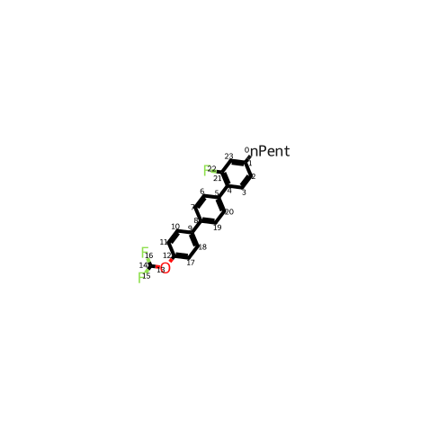 CCCCCc1ccc(-c2ccc(-c3ccc(OC(F)F)cc3)cc2)c(F)c1